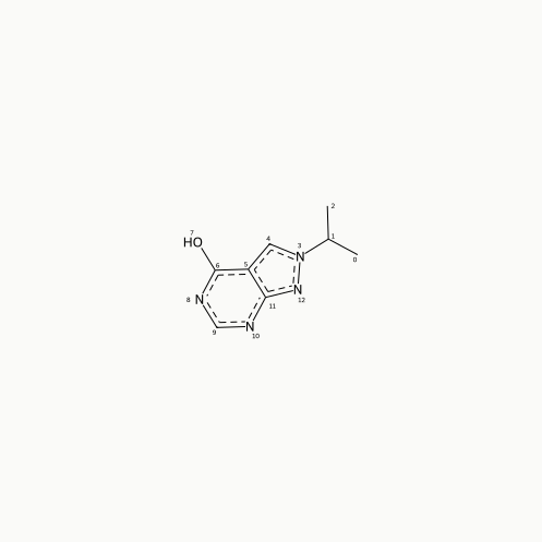 CC(C)n1cc2c(O)ncnc2n1